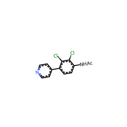 CC(=O)Nc1ccc(-c2ccncc2)c(Cl)c1Cl